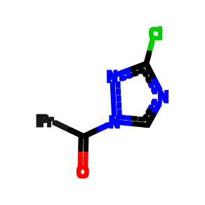 CC(C)C(=O)n1cnc(Cl)n1